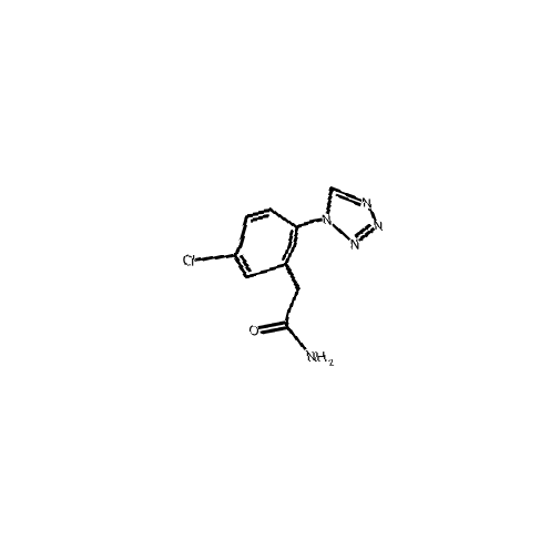 NC(=O)Cc1cc(Cl)ccc1-n1cnnn1